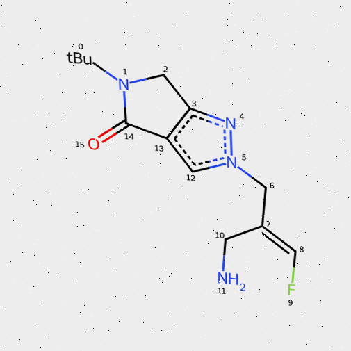 CC(C)(C)N1Cc2nn(CC(=CF)CN)cc2C1=O